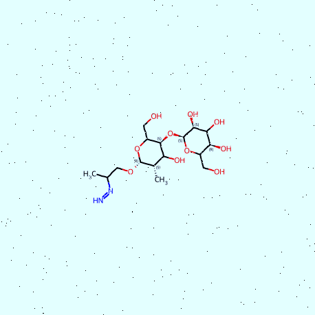 CC(CO[C@@H]1OC(CO)[C@@H](O[C@@H]2OC(CO)[C@H](O)C(O)[C@@H]2O)C(O)[C@@H]1C)N=N